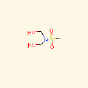 CS(=O)(=O)N(CO)CO